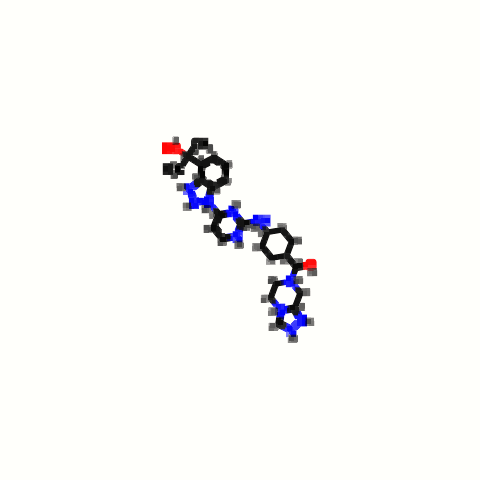 CC(C)(O)c1cccc2c1nnn2-c1ccnc(NC2CCC(C(=O)N3CCn4cnnc4C3)CC2)n1